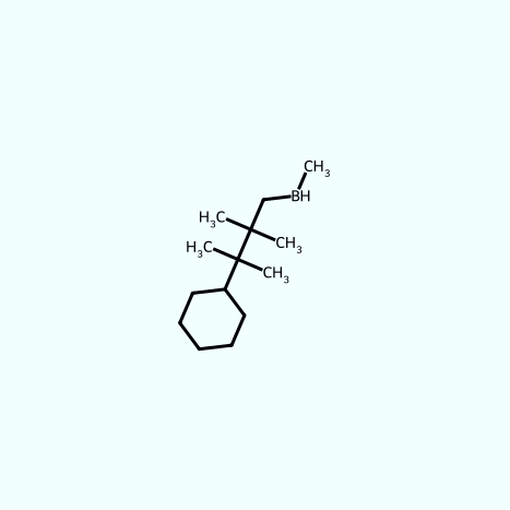 CBCC(C)(C)C(C)(C)C1CCCCC1